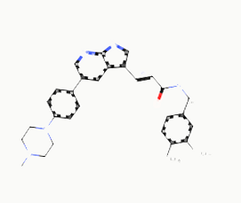 COc1ccc([C@@H](C)NC(=O)/C=C/c2c[nH]c3ncc(-c4ccc(N5CCN(C)CC5)cc4)cc23)cc1OC